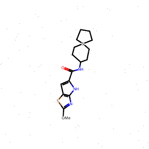 COc1nc2[nH]c(C(=O)NC3CC[Si]4(CCCC4)CC3)cc2s1